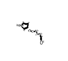 O=C=NSN=C=O.c1cc[nH]c1